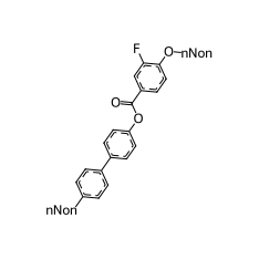 CCCCCCCCCOc1ccc(C(=O)Oc2ccc(-c3ccc(CCCCCCCCC)cc3)cc2)cc1F